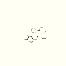 Cc1cc(CC(=O)N2CCNC3CCCC(N4CCCC4)C32)ccc1Cl